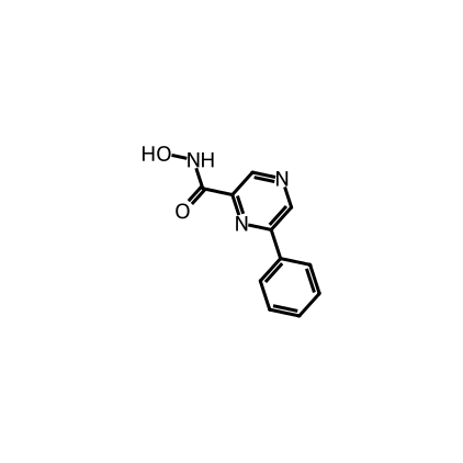 O=C(NO)c1cncc(-c2ccccc2)n1